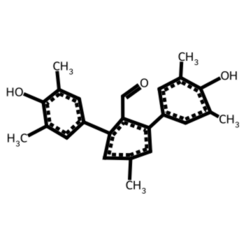 Cc1cc(-c2cc(C)c(O)c(C)c2)c(C=O)c(-c2cc(C)c(O)c(C)c2)c1